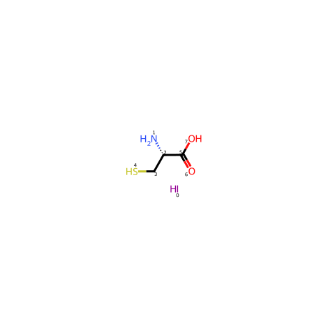 I.N[C@@H](CS)C(=O)O